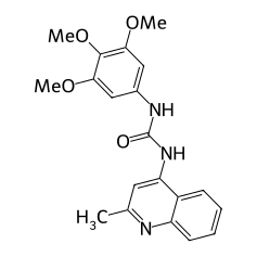 COc1cc(NC(=O)Nc2cc(C)nc3ccccc23)cc(OC)c1OC